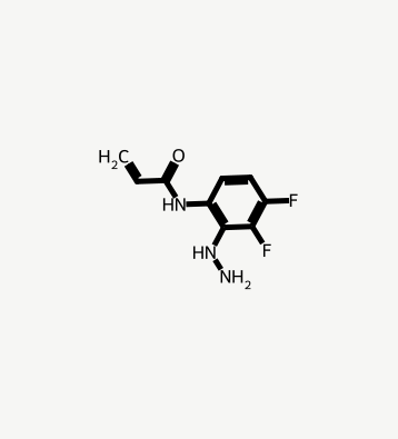 C=CC(=O)Nc1ccc(F)c(F)c1NN